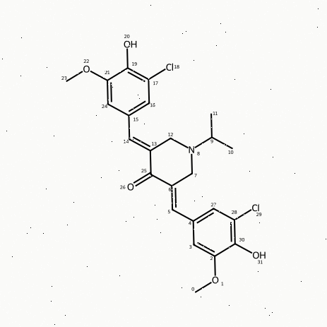 COc1cc(/C=C2\CN(C(C)C)C/C(=C\c3cc(Cl)c(O)c(OC)c3)C2=O)cc(Cl)c1O